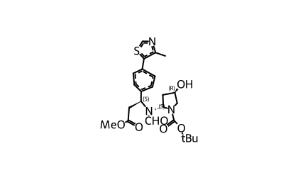 COC(=O)C[C@@H](c1ccc(-c2scnc2C)cc1)N(C=O)[C@@H]1C[C@@H](O)CN1C(=O)OC(C)(C)C